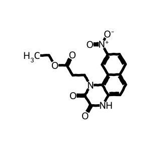 CCOC(=O)CCn1c(=O)c(=O)[nH]c2ccc3ccc([N+](=O)[O-])cc3c21